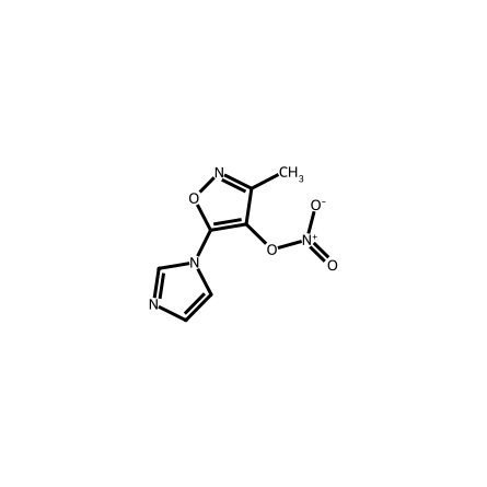 Cc1noc(-n2ccnc2)c1O[N+](=O)[O-]